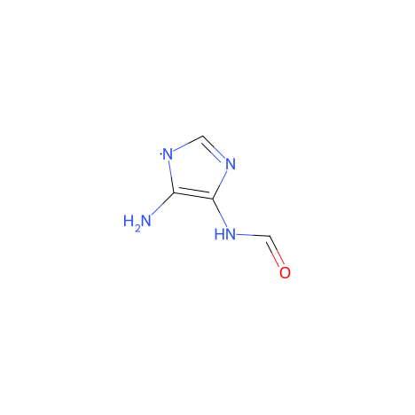 NC1=C(NC=O)N=C[N]1